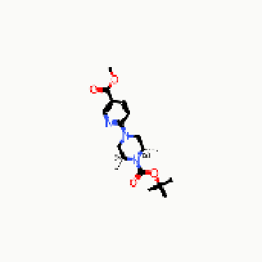 COC(=O)c1ccc(N2C[C@@H](C)N(C(=O)OC(C)(C)C)[C@@H](C)C2)nc1